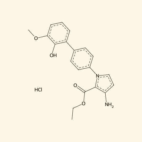 CCOC(=O)c1c(N)ccn1-c1ccc(-c2cccc(OC)c2O)cc1.Cl